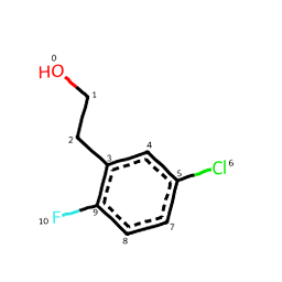 OCCc1cc(Cl)ccc1F